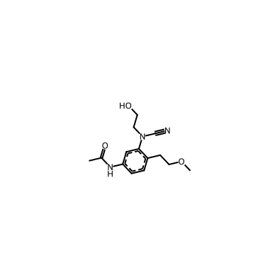 COCCc1ccc(NC(C)=O)cc1N(C#N)CCO